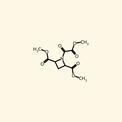 COC(=O)C(=O)N1C(C(=O)OC)CC1C(=O)OC